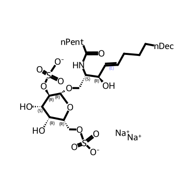 CCCCCCCCCCCCC/C=C/[C@@H](O)[C@H](CO[C@@H]1O[C@H](COS(=O)(=O)[O-])[C@H](O)[C@H](O)[C@H]1OS(=O)(=O)[O-])NC(=O)CCCCC.[Na+].[Na+]